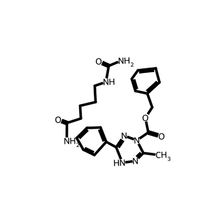 CC1=NNC(c2ccccc2)=NN1C(=O)OCc1ccccc1.NC(=O)CCCCNC(N)=O